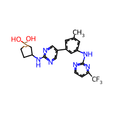 Cc1cc(Nc2nccc(C(F)(F)F)n2)cc(-c2cnc(NC3CCS(O)(O)C3)nc2)c1